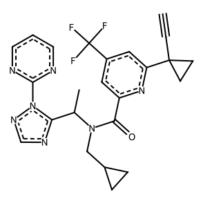 C#CC1(c2cc(C(F)(F)F)cc(C(=O)N(CC3CC3)C(C)c3ncnn3-c3ncccn3)n2)CC1